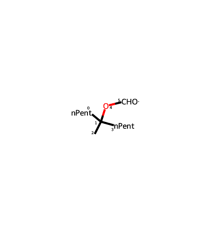 CCCCCC(C)(CCCCC)O[C]=O